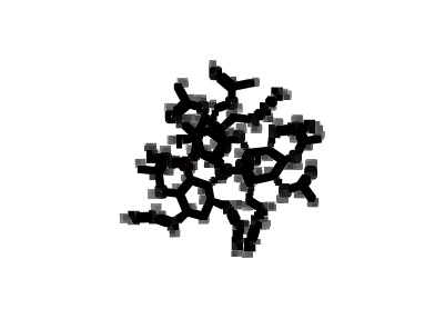 CC(=O)OC[C@H]1O[C@@H](O[C@@H]2C(OC(C)=O)[C@H](N=[N+]=[N-])C[C@H](N=[N+]=[N-])[C@H]2O[C@H]2O[C@H](CN=[N+]=[N-])[C@@H](OC(C)=O)C(F)(F)[C@H]2N=[N+]=[N-])[C@H](OC(C)=O)[C@@H]1O[C@H]1O[C@@H](CN=[N+]=[N-])[C@@H](OC(C)=O)[C@H](OC(C)=O)[C@H]1N=[N+]=[N-]